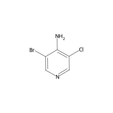 Nc1c(Cl)cncc1Br